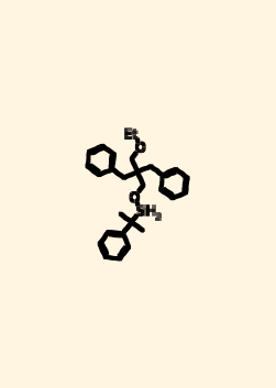 CCOCC(CO[SiH2]C(C)(C)c1ccccc1)(Cc1ccccc1)Cc1ccccc1